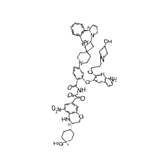 CC(C)c1ccccc1[C@H]1CCCN1C1CC2(CCN(c3ccc(C(=O)NS(=O)(=O)c4cc5c(c([N+](=O)[O-])c4)N[C@@H](C4CCC(C)(O)CC4)CO5)c(Oc4cc5cc[nH]c5nc4OCCN4CC(O)C4)c3)CC2)C1